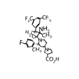 Cc1cc(F)ccc1[C@H]1C[C@@H](N2CCC(C(=O)O)C2)CCN1C(=O)C(C)(N)[C@H](C)c1cc(C(F)(F)F)cc(C(F)(F)F)c1